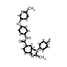 Cc1ccc(Oc2ccc(NC(=O)c3ccc4nc(C)n(-c5ccc(F)cc5)c4c3)cc2)cn1